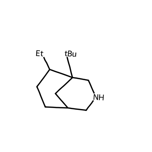 CCC1CCC2CNCC1(C(C)(C)C)C2